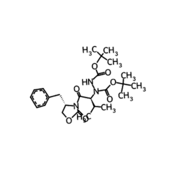 CC(C)[C@@H](C(=O)N1C(=O)OC[C@@H]1Cc1ccccc1)N(NC(=O)OC(C)(C)C)C(=O)OC(C)(C)C